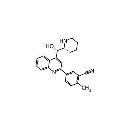 Cc1ccc(-c2cc([C@H](O)[C@H]3CCCCN3)c3ccccc3n2)cc1C#N